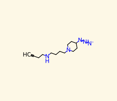 C#CCCNCCCCN1CCC(N=[N+]=[N-])CC1